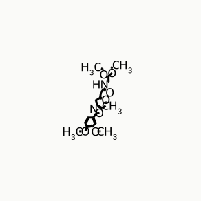 CCOC(CNC(=O)CC(=O)Cc1nc(-c2ccc(OC)c(OC)c2)oc1C)OCC